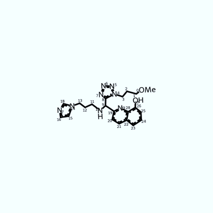 COCCCn1nnnc1C(NCCCn1ccnc1)c1ccc2cccc(O)c2n1